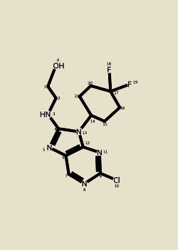 OCCNc1nc2cnc(Cl)nc2n1C1CCC(F)(F)CC1